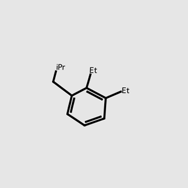 CCc1cccc(CC(C)C)c1CC